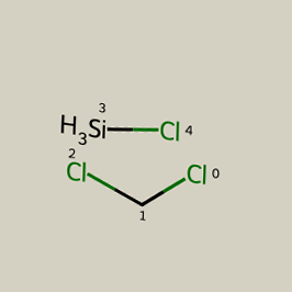 ClCCl.[SiH3]Cl